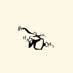 CC(C)CCOC(C)(C)C1CC(C)CCC12CO2